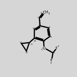 C=Cc1ccc(OC(F)F)c(C2CC2)c1